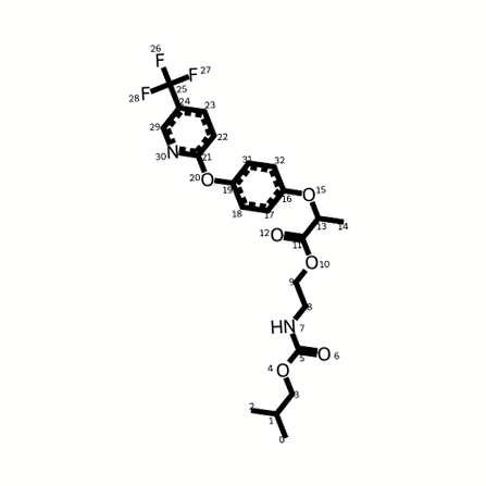 CC(C)COC(=O)NCCOC(=O)C(C)Oc1ccc(Oc2ccc(C(F)(F)F)cn2)cc1